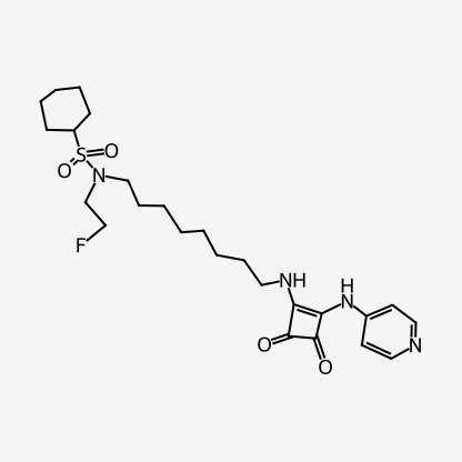 O=c1c(NCCCCCCCCN(CCF)S(=O)(=O)C2CCCCC2)c(Nc2ccncc2)c1=O